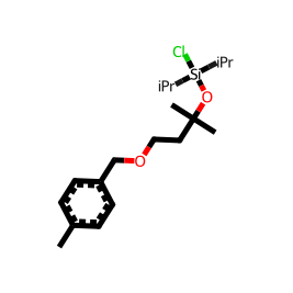 Cc1ccc(COCCC(C)(C)O[Si](Cl)(C(C)C)C(C)C)cc1